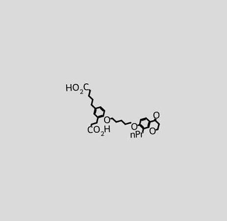 CCCc1c(OCCCCCOc2ccc(CCCCC(=O)O)cc2CCC(=O)O)ccc2c1OCCC2=O